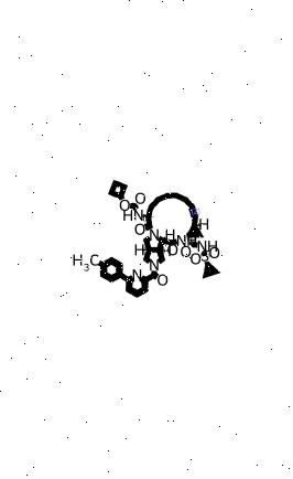 Cc1ccc(-c2cccc(C(=O)N3C[C@H]4CN5C(=O)[C@@H](NC(=O)OC6CCC6)CCCCC/C=C\[C@H]6C[C@@]6(C(=O)NS(=O)(=O)C6CC6)NC(=O)[C@@H]5[C@H]4C3)n2)cc1